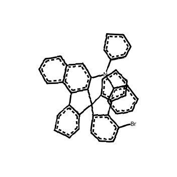 Brc1cccc2c1-c1ccccc1C21c2ccccc2-c2c1c(N(c1ccccc1)c1ccccc1)cc1ccccc21